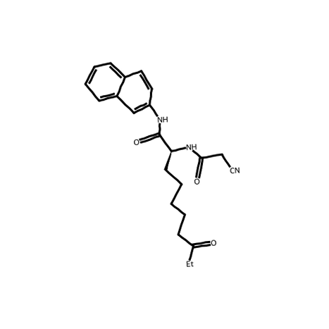 CCC(=O)CCCCC[C@H](NC(=O)CC#N)C(=O)Nc1ccc2ccccc2c1